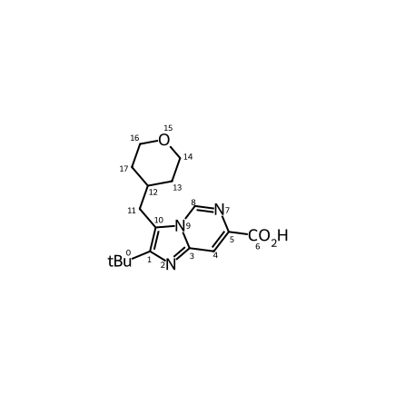 CC(C)(C)c1nc2cc(C(=O)O)ncn2c1CC1CCOCC1